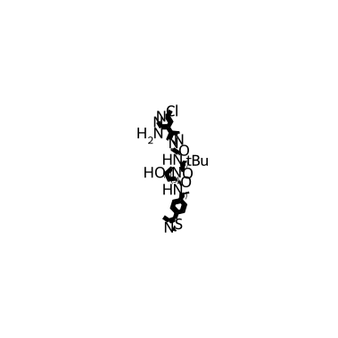 Cc1ncsc1-c1ccc([C@H](C)NC(=O)[C@@H]2C[C@@H](O)CN2C(=O)[C@@H](NC(=O)Cn2cc(-c3cc(Cl)nnc3N)cn2)C(C)(C)C)cc1